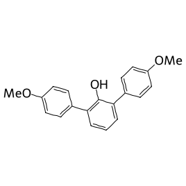 COc1ccc(-c2cccc(-c3ccc(OC)cc3)c2O)cc1